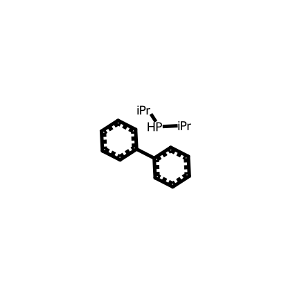 CC(C)PC(C)C.c1ccc(-c2ccccc2)cc1